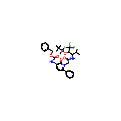 CC(C)C(NC(=O)Cn1c(-c2ccccc2)ccc(NC(=O)OCc2ccccc2)c1=O)C(O[Si](C)(C)C(C)(C)C)C(F)(F)F